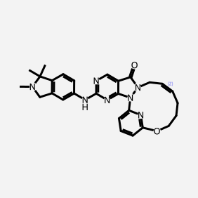 CN1Cc2cc(Nc3ncc4c(=O)n5n(c4n3)-c3cccc(n3)OCCC/C=C\C5)ccc2C1(C)C